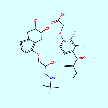 C=C(CC)C(=O)c1ccc(OCC(=O)O)c(Cl)c1Cl.CC(C)(C)NCC(O)COc1cccc2c1C[C@H](O)[C@H](O)C2